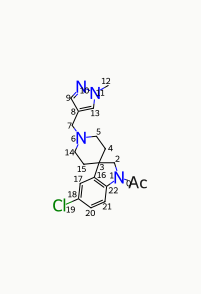 CC(=O)N1CC2(CCN(Cc3cnn(C)c3)CC2)c2cc(Cl)ccc21